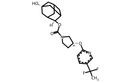 CC(F)(F)c1ccc(O[C@@H]2CCN(C(=O)O[C@H]3C4CC5CC3C[C@](O)(C5)C4)C2)nc1